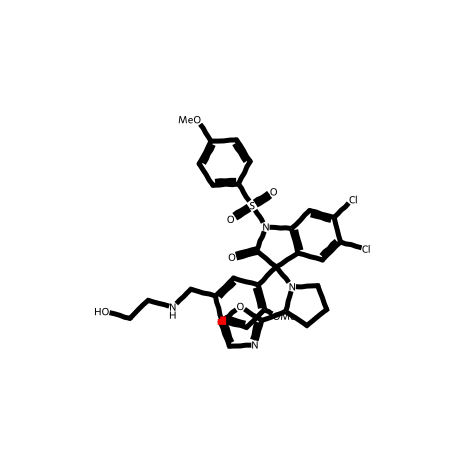 COc1ccc(S(=O)(=O)N2C(=O)C(c3cc(CNCCO)ccc3OC)(N3CCCC3c3ncco3)c3cc(Cl)c(Cl)cc32)cc1